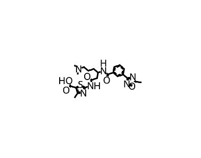 Cc1nc(-c2cccc(C(=O)NC(CCCN(C)C)CC(=O)Nc3nc(C)c(C(=O)O)s3)c2)no1